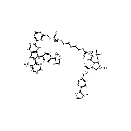 Cc1ncsc1-c1ccc(CNC(=O)[C@@H]2C[C@@H](O)CN2C(=O)[C@@H](NC(=O)CCCCCCCNC(=O)CCc2cccc(-c3ccc4nc(-c5cccnc5N)n(-c5ccc(C6(N)CCC6)cc5)c4n3)c2)C(C)(C)C)cc1